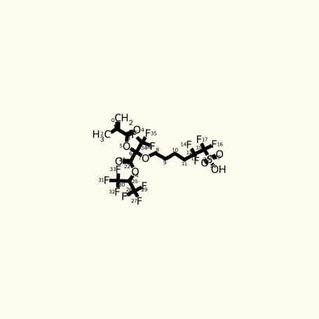 C=C(C)C(=O)OC(OCCCCC(F)(F)C(F)(F)S(=O)(=O)O)(C(=O)OC(C(F)(F)F)C(F)(F)F)C(F)(F)F